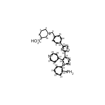 O=C(O)C1CCCN(Cc2ccc(-c3noc(-c4nnn(-c5ccccc5P)c4-c4ccncc4)n3)cc2)C1